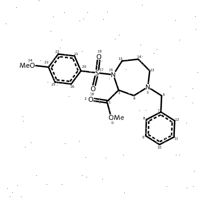 COC(=O)C1CN(Cc2ccccc2)CCCN1S(=O)(=O)c1ccc(OC)cc1